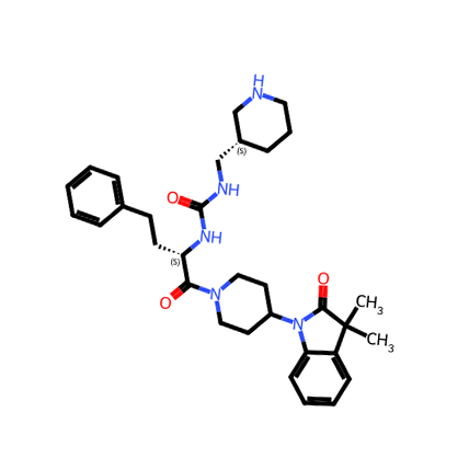 CC1(C)C(=O)N(C2CCN(C(=O)[C@H](CCc3ccccc3)NC(=O)NC[C@H]3CCCNC3)CC2)c2ccccc21